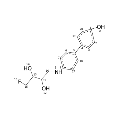 Oc1ccc(-c2ccc(NCC(O)C(O)CF)cc2)cc1